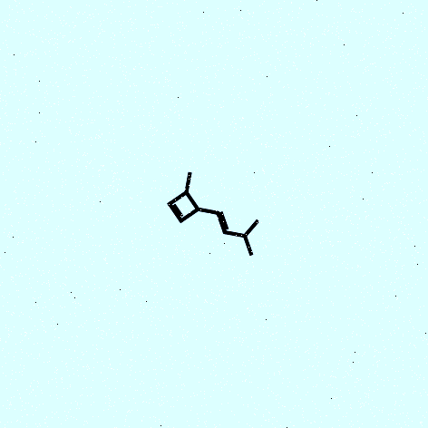 CC(C)C=CC1C=CC1C